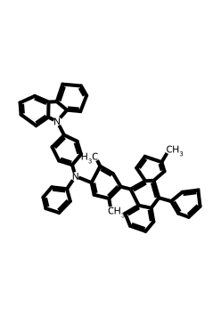 Cc1ccc2c(-c3cc(C)c(N(c4ccccc4)c4ccc(-n5c6ccccc6c6ccccc65)cc4)cc3C)c3ccccc3c(-c3ccccc3)c2c1